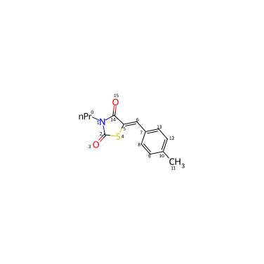 CCCN1C(=O)S/C(=C\c2ccc(C)cc2)C1=O